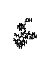 [2H]c1c(C([2H])([2H])[2H])c([2H])c2nc(Sc3nncn3C)c(Sc3nnnn3CCO)nc2c1[2H]